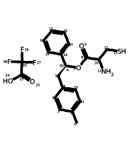 Cc1ccc(C[C@H](OC(=O)C(N)CS)c2ccccc2)cc1.O=C(O)C(F)(F)F